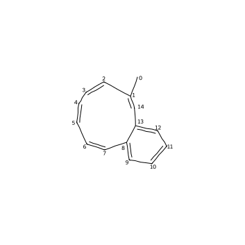 Cc1ccccccc2ccccc2c1